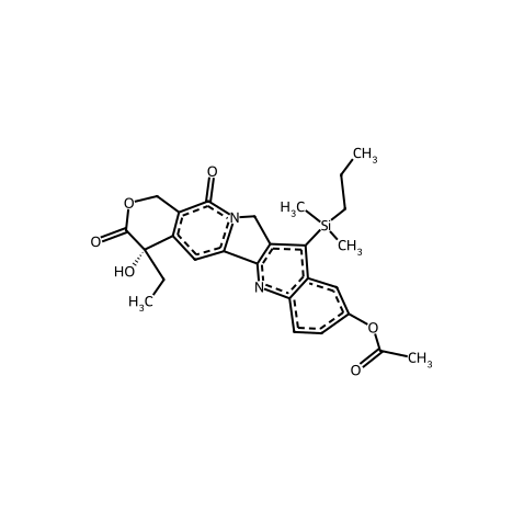 CCC[Si](C)(C)c1c2c(nc3ccc(OC(C)=O)cc13)-c1cc3c(c(=O)n1C2)COC(=O)[C@]3(O)CC